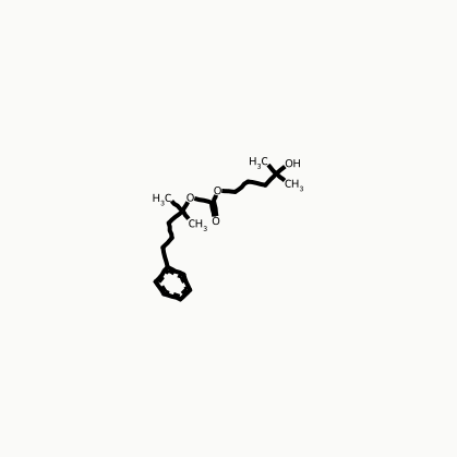 CC(C)(O)CCCOC(=O)OC(C)(C)CCCc1ccccc1